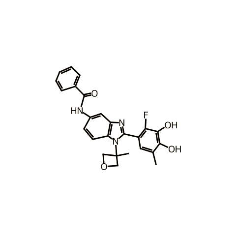 Cc1cc(-c2nc3cc(NC(=O)c4ccccc4)ccc3n2C2(C)COC2)c(F)c(O)c1O